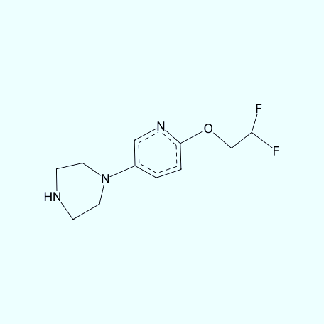 FC(F)COc1ccc(N2CCNCC2)cn1